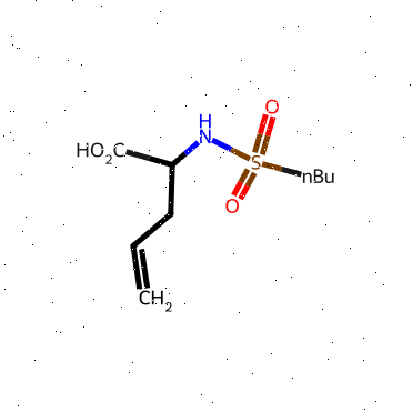 C=CCC(NS(=O)(=O)CCCC)C(=O)O